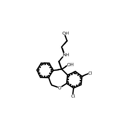 OCCNCC1(O)c2ccccc2COc2c(Cl)cc(Cl)cc21